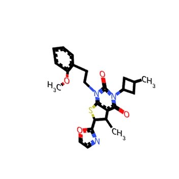 COc1ccccc1CCn1c2c(c(=O)n(C3CC(C)C3)c1=O)C(C)C(c1ncco1)S2